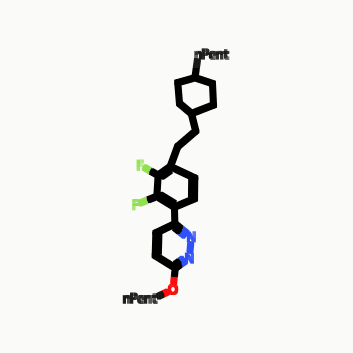 CCCCCOc1ccc(-c2ccc(CCC3CCC(CCCCC)CC3)c(F)c2F)nn1